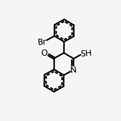 O=C1c2ccccc2N=C(S)C1c1ccccc1Br